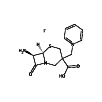 N[C@@H]1C(=O)N2CC(C[n+]3ccccc3)(C(=O)O)CS[C@H]12.[I-]